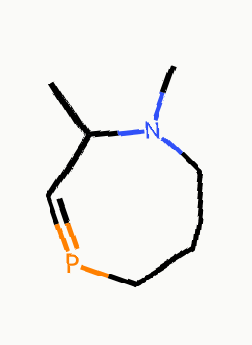 CC1C=PCCCN1C